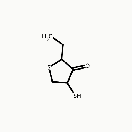 CCC1SCC(S)C1=O